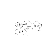 C=C(C)[C@@H]1CC[C@]2(C)CC[C@]3(C)[C@H](CC[C@@H]4[C@@]5(C)CC[C@](O)([PH](c6ccccc6)(c6ccccc6)c6ccccc6)C(C)(C)[C@@H]5CC[C@]43C)[C@@H]12